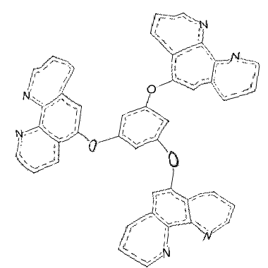 c1cnc2c(c1)cc(Oc1cc(Oc3cc4cccnc4c4ncccc34)cc(Oc3cc4cccnc4c4ncccc34)c1)c1cccnc12